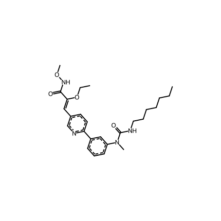 CCCCCCCNC(=O)N(C)c1cccc(-c2ccc(C=C(OCC)C(=O)NOC)cn2)c1